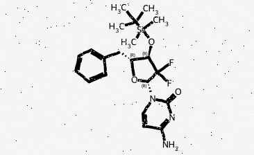 CC(C)(C)[Si](C)(C)O[C@@H]1[C@@H](Cc2cc[c]cc2)O[C@@H](n2ccc(N)nc2=O)C1(F)F